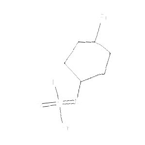 CCC1CCC(N=S(=O)(CC)CC)CC1